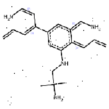 C=C/C=C(\C=C/N)c1cc(=C/N)/c(=C\C=C)c(NCC(C)(C)N)n1